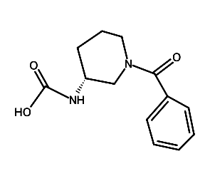 O=C(O)N[C@@H]1CCCN(C(=O)c2ccccc2)C1